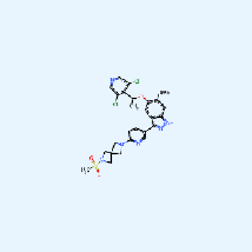 COc1cc2[nH]nc(-c3ccc(N4CC5(C4)CN(S(C)(=O)=O)C5)nc3)c2cc1OC(C)c1c(Cl)cncc1Cl